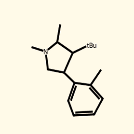 Cc1ccccc1C1CN(C)C(C)C1C(C)(C)C